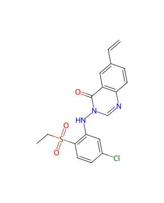 C=Cc1ccc2ncn(Nc3cc(Cl)ccc3S(=O)(=O)CC)c(=O)c2c1